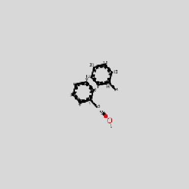 C=O.Cc1ccccc1.Cc1ccccc1